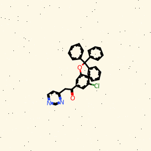 O=C(Cc1ccncn1)c1cc(Cl)cc(OC(c2ccccc2)(c2ccccc2)c2ccccc2)c1